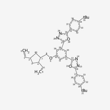 C=CC1CC(C=C)C(COc2cc(-c3nnc(-c4ccc(C(C)(C)C)cc4)o3)cc(-c3nnc(-c4ccc(C(C)(C)C)cc4)o3)c2)C1